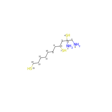 NCC(N)(S)CC(S)CCCCCCCS